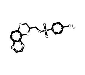 Cc1ccc(S(=O)(=O)OCC2COc3ccc4nccnc4c3O2)cc1